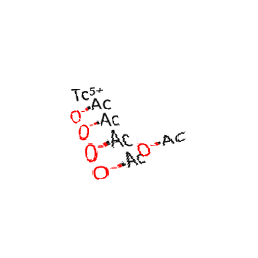 CC(=O)[O-].CC(=O)[O-].CC(=O)[O-].CC(=O)[O-].CC(=O)[O-].[Tc+5]